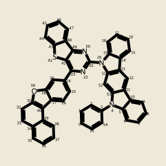 c1ccc(-n2c3ccccc3c3cc4c5ccccc5n(-c5nc(-c6ccc7c(c6)oc6ccc8ccccc8c67)c6sc7ccccc7c6n5)c4cc32)cc1